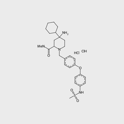 CNC(=O)C1CC(N)(C2CCCCC2)CCN1Cc1ccc(Oc2ccc(NS(C)(=O)=O)cc2)cc1.Cl.Cl